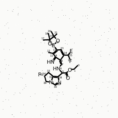 CCOC(=O)C(N/C=C1\C(=N)C(C)=C(B2OC(C)(C)C(C)(C)O2)C=C1C(F)F)c1ncn2c1C[C@@H](F)C2